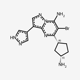 Nc1c(Br)c([C@@H]2CC[C@H](N)C2)nc2c(-c3cn[nH]c3)cnn12